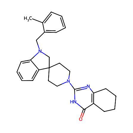 Cc1ccccc1CN1CC2(CCN(c3nc4c(c(=O)[nH]3)CCCC4)CC2)c2ccccc21